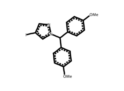 COc1ccc(C(c2ccc(OC)cc2)n2cc(I)cn2)cc1